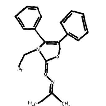 CC(C)=N/N=c1\sc(-c2ccccc2)c(-c2ccccc2)n1CC(C)C